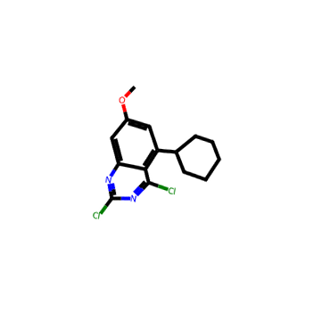 COc1cc(C2CCCCC2)c2c(Cl)nc(Cl)nc2c1